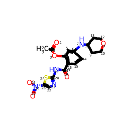 CC(=O)Oc1cc(NC2CCOCC2)ccc1C(=O)Nc1ncc([N+](=O)[O-])s1